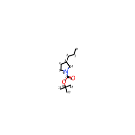 CCC[C@@H]1CCN(C(=O)OC(C)(C)C)C1